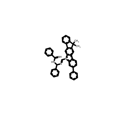 CC1(C)c2ccccc2-c2cc3c(cc21)c1ccc(-c2ccccc2)cc1n3/C=N/C(NC(=N)c1ccccc1)c1ccccc1